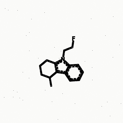 CC1CCCc2c1c1ccccc1n2CCF